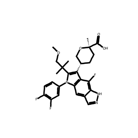 COCC(C)(C)c1c([C@H]2CC[C@](C)(C(=O)O)OC2)c2c(F)c3[nH]ncc3cc2n1-c1ccc(F)c(F)c1